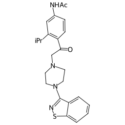 CC(=O)Nc1ccc(C(=O)CN2CCN(c3nsc4ccccc34)CC2)c(C(C)C)c1